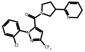 O=C(c1cc(C(F)(F)F)nn1-c1ccccc1Cl)N1CCC(C2=NCCC=C2)C1